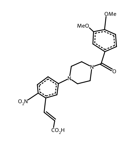 COc1ccc(C(=O)N2CCN(c3ccc([N+](=O)[O-])c(C=CC(=O)O)c3)CC2)cc1OC